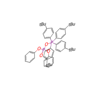 CC(C)(C)c1ccc(P(OP(=O)(Oc2ccccc2)Oc2ccccc2)(c2ccc(C(C)(C)C)cc2)(c2ccc(C(C)(C)C)cc2)c2ccc(C(C)(C)C)cc2)cc1